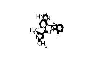 Cn1cc(C(=O)N2CCc3[nH]cnc3[C@H]2c2nc3c(F)cccc3s2)c(C(F)(F)F)n1